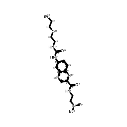 CCN(CC)CCNC(=O)c1cnc2cc(NC(=O)NCCOCCC(C)C)ccc2n1